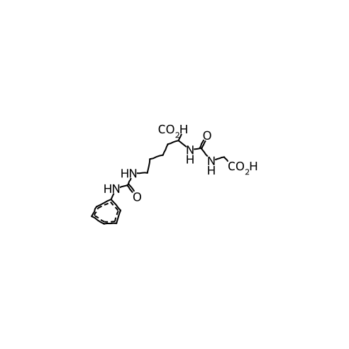 O=C(O)CNC(=O)NC(CCCCNC(=O)Nc1ccccc1)C(=O)O